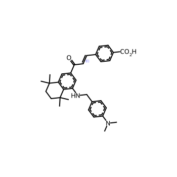 CN(C)c1ccc(CNc2cc(C(=O)/C=C/c3ccc(C(=O)O)cc3)cc3c2C(C)(C)CCC3(C)C)cc1